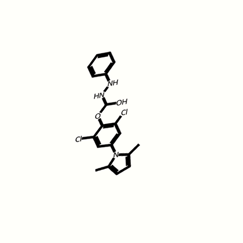 Cc1ccc(C)n1-c1cc(Cl)c(OC(O)NNc2ccccc2)c(Cl)c1